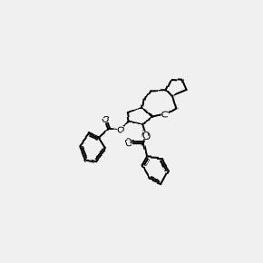 O=C(OC1CC2CCC3CCCC3CCC2C1OC(=O)c1ccccc1)c1ccccc1